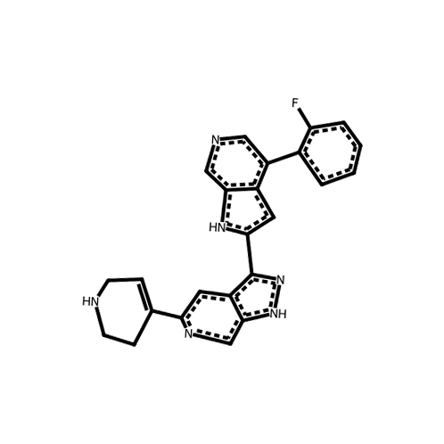 Fc1ccccc1-c1cncc2[nH]c(-c3n[nH]c4cnc(C5=CCNCC5)cc34)cc12